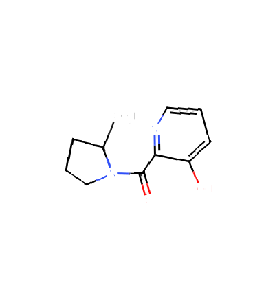 O=C(O)C1CCCN1C(=O)c1ncccc1O